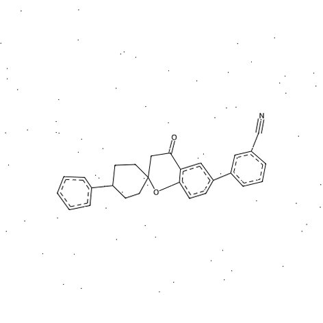 N#Cc1cccc(-c2ccc3c(c2)C(=O)CC2(CCC(c4ccccc4)CC2)O3)c1